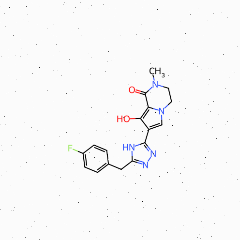 CN1CCn2cc(-c3nnc(Cc4ccc(F)cc4)[nH]3)c(O)c2C1=O